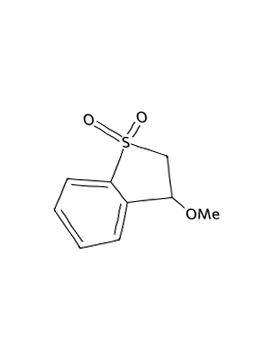 COC1CS(=O)(=O)c2ccccc21